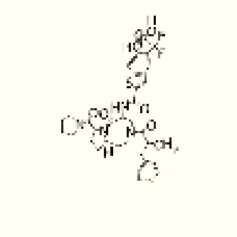 C[C@@H](Cc1ccccc1)C(=O)N1CC[C@H]2CC[C@@H](C(=O)N3CCCC3)N2C(=O)[C@@H](NC(=O)c2cc3cc(C(F)(F)P(=O)(O)O)ccc3s2)C1